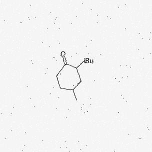 CCC(C)C1CC(C)CCC1=O